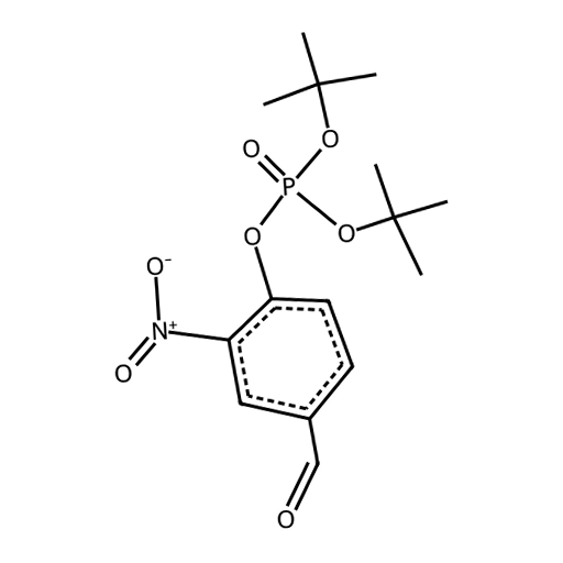 CC(C)(C)OP(=O)(Oc1ccc(C=O)cc1[N+](=O)[O-])OC(C)(C)C